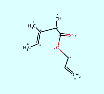 C=CCOC(=O)C(C)C(C)=CC